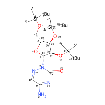 CC(C)(C)[Si](C)(C)OC[C@H]1O[C@@H](n2ncc(N)nc2=O)[C@H](O[Si](C)(C)C(C)(C)C)[C@@H]1O[Si](C)(C)C(C)(C)C